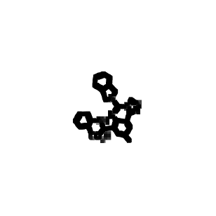 Cc1cc(C(C)Nc2ccccc2C(=O)O)c2nc(N3Cc4ccccc4C3)n3cnnc3c2c1